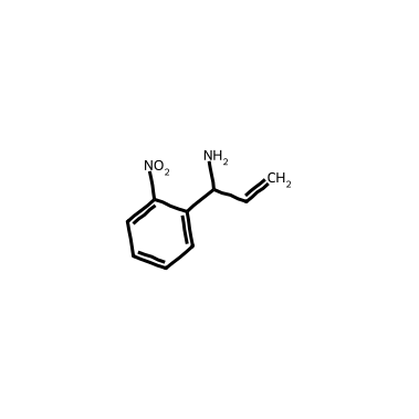 C=CC(N)c1ccccc1[N+](=O)[O-]